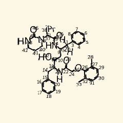 [2H]C([2H])(c1ccccc1)[C@@H](C[C@H](O)[C@H](Cc1ccccc1)NC(=O)COc1c(C)cccc1C)NC(=O)[C@H](C(C)C)N1CCCNC1=O